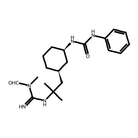 CN(C=O)C(=N)NC(C)(C)C[C@H]1CCC[C@@H](NC(=O)Nc2ccccc2)C1